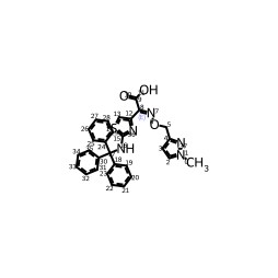 Cn1ccc(CO/N=C(/C(=O)O)c2csc(NC(c3ccccc3)(c3ccccc3)c3ccccc3)n2)n1